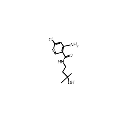 CC(C)(O)CCNC(=O)c1cnc(Cl)cc1N